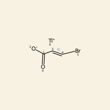 O=C([O-])/C=C/Br.[Tl+]